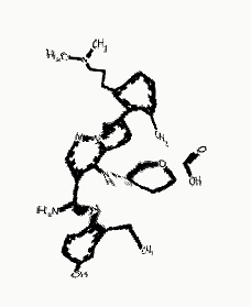 CCc1cc(O)ccc1N=C(N)c1cnn2cc(-c3c(C)cccc3CCCN(C)C)cc2c1N[C@H]1CCOC1.O=CO